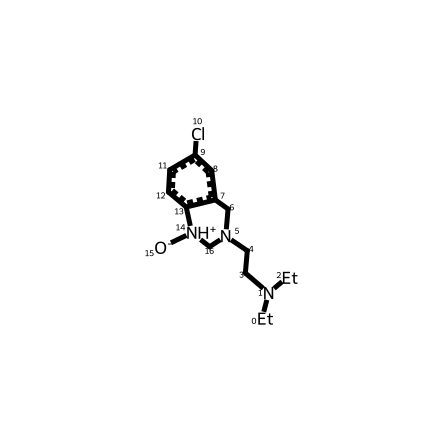 CCN(CC)CCN1Cc2cc(Cl)ccc2[NH+]([O-])C1